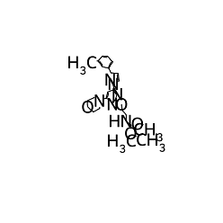 Cc1cccc(-c2ccn(-c3cc(N4CCOCC4)nc(OCCNC(=O)OC(C)(C)C)n3)n2)c1